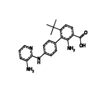 CC(C)(C)c1ccc(C(=O)O)c(N)c1-c1ccc(Nc2ncccc2N)cc1